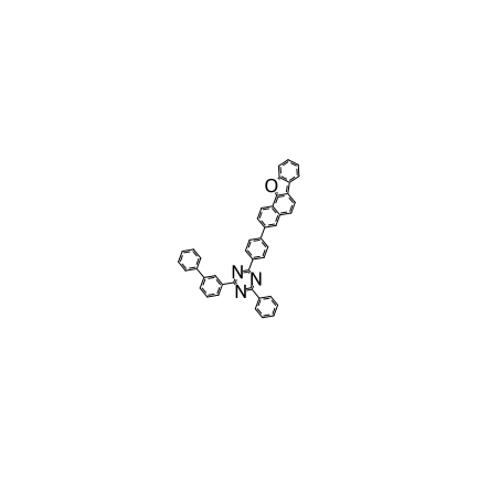 c1ccc(-c2cccc(-c3nc(-c4ccccc4)nc(-c4ccc(-c5ccc6c(ccc7c8ccccc8oc67)c5)cc4)n3)c2)cc1